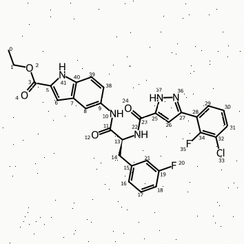 CCOC(=O)c1cc2cc(NC(=O)[C@H](Cc3cccc(F)c3)NC(=O)c3cc(-c4cccc(Cl)c4F)n[nH]3)ccc2[nH]1